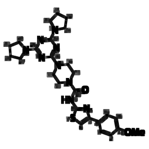 COc1ccc(-c2csc(NC(=O)N3CCN(c4nc(N5CCCC5)nc(N5CCCC5)n4)CC3)n2)cc1